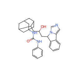 O=C(Nc1ccccc1)NC12CC3CC(C1)C(CC(O)CC1c4ccccc4-c4cncn41)C(C3)C2